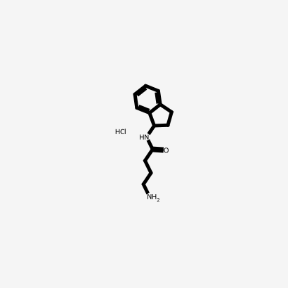 Cl.NCCCC(=O)NC1CCc2ccccc21